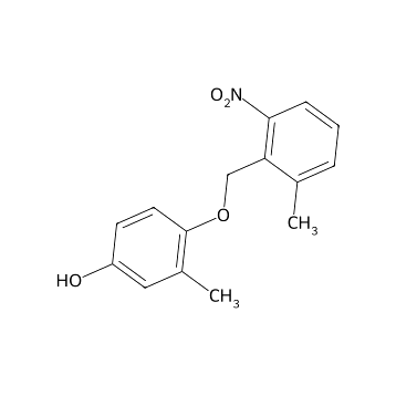 Cc1cc(O)ccc1OCc1c(C)cccc1[N+](=O)[O-]